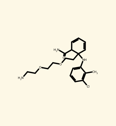 Cc1c(Cl)cccc1NC1(CCOCCOCCN)C=CC=CC1C(N)=O